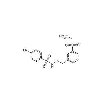 O=C(O)CS(=O)(=O)c1cccc(CCNS(=O)(=O)c2ccc(Cl)cc2)c1